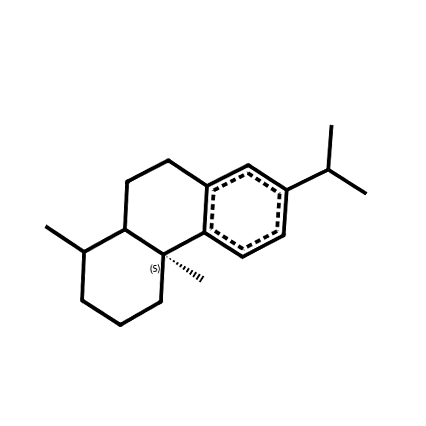 CC(C)c1ccc2c(c1)CCC1C(C)CCC[C@]21C